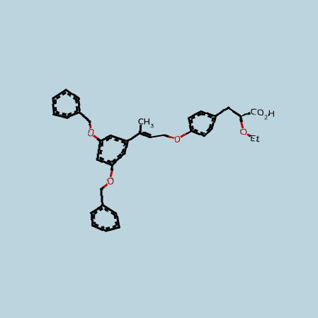 CCO[C@@H](Cc1ccc(OC/C=C(\C)c2cc(OCc3ccccc3)cc(OCc3ccccc3)c2)cc1)C(=O)O